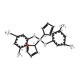 FC(F)(F)c1cc([O][Zr]([O]c2cc(C(F)(F)F)cc(C(F)(F)F)c2)([CH]2C=CC=C2)[CH]2C=CC=C2)cc(C(F)(F)F)c1